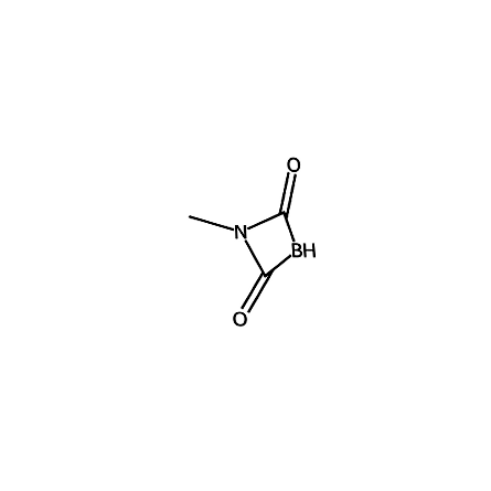 CN1C(=O)BC1=O